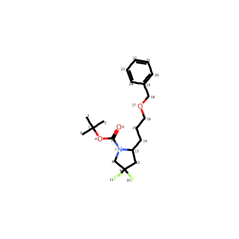 CC(C)(C)OC(=O)N1CC(F)(F)CC1CCCOCc1ccccc1